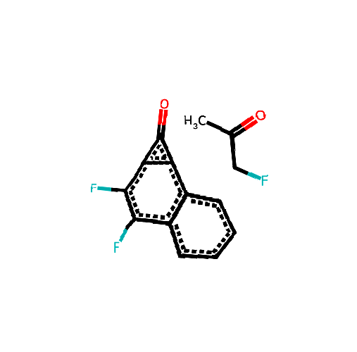 CC(=O)CF.O=c1c2c(F)c(F)c3ccccc3c12